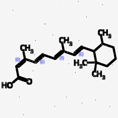 CC(=C/C(=O)O)/C=C/C=C(C)/C=C/C1C(C)CCCC1(C)C